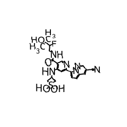 CC(C)(O)C(F)CNC(=O)c1cnc(-c2ccc3cc(C#N)cnn23)cc1NC1CS(O)(O)C1